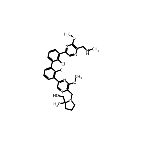 CNCc1ncc(-c2cccc(-c3cccc(-c4cnc(CN5CCCC5(C)CO)c(OC)n4)c3Cl)c2Cl)nc1OC